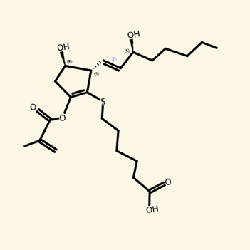 C=C(C)C(=O)OC1=C(SCCCCCC(=O)O)[C@@H](/C=C/[C@@H](O)CCCCC)[C@H](O)C1